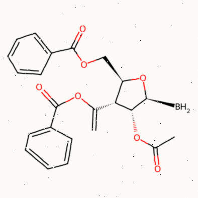 B[C@@H]1O[C@H](COC(=O)c2ccccc2)[C@@H](C(=C)OC(=O)c2ccccc2)[C@H]1OC(C)=O